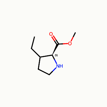 CCC1CCN[C@@H]1C(=O)OC